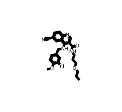 CCCOCCCNC(=O)c1cnc2ccc(C#N)cc2c1NCc1ccc(OC)c(Cl)c1